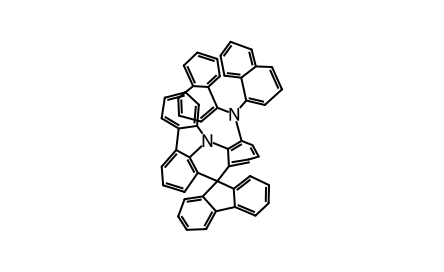 c1ccc2c(c1)-c1ccccc1C21c2cccc(N(c3cccc4ccccc34)c3cccc4ccccc34)c2-n2c3ccccc3c3cccc1c32